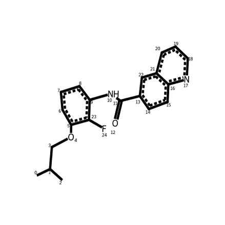 CC(C)COc1cccc(NC(=O)c2ccc3ncccc3c2)c1F